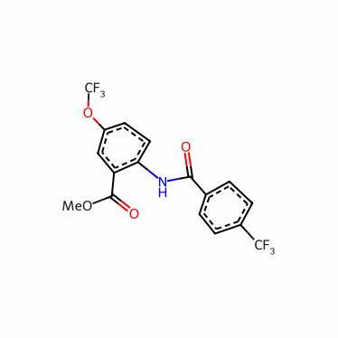 COC(=O)c1cc(OC(F)(F)F)ccc1NC(=O)c1ccc(C(F)(F)F)cc1